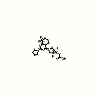 O=C(O)C[C@H]1[C@H]2CN(c3nc(N4CCCC4)nc4c3CCCC4(F)F)C[C@@H]12